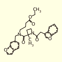 CCOC(=O)CCCN(Cc1ccc2ccoc2c1)C(=O)C1(C)CCN1C(=O)Cc1coc2ccccc12